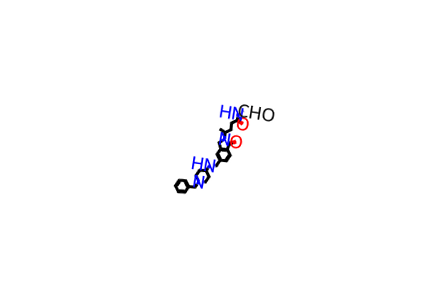 CC(CCC(=O)NC=O)N1Cc2cc(CNC3CCN(Cc4ccccc4)CC3)ccc2C1=O